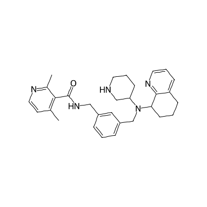 Cc1ccnc(C)c1C(=O)NCc1cccc(CN(C2CCCNC2)C2CCCc3cccnc32)c1